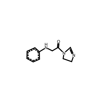 O=C(CNc1ccccc1)N1C=NCC1